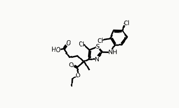 CCOC(=O)C(C)(CCC(=O)O)c1nc(Nc2ccc(Cl)cc2Cl)sc1Cl